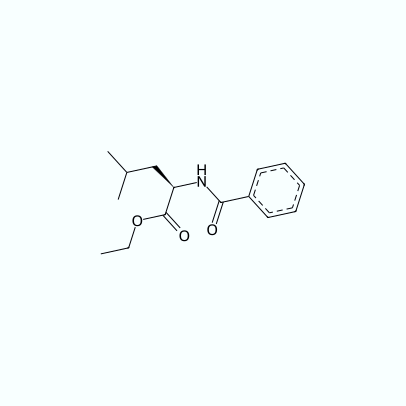 CCOC(=O)[C@@H](CC(C)C)NC(=O)c1ccccc1